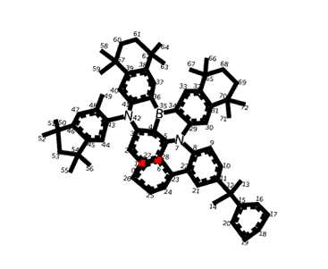 Cc1cc2c3c(c1)N(c1ccc(C(C)(C)c4ccccc4)cc1-c1ccccc1)c1cc4c(cc1B3c1cc3c(cc1N2c1cc2c(cc1C)C(C)(C)CC2(C)C)C(C)(C)CCC3(C)C)C(C)(C)CCC4(C)C